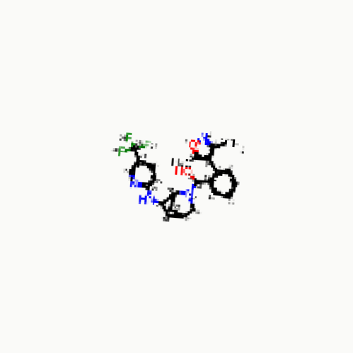 Cc1noc(C)c1-c1ccccc1C(O)N1CC2CC(Nc3ccc(C(F)(F)F)cn3)C1C2